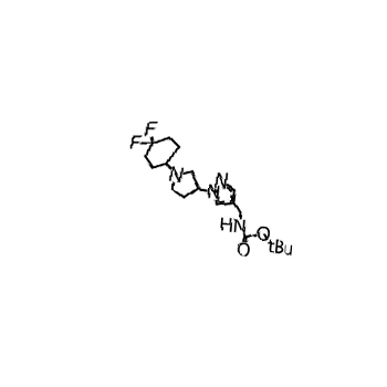 CC(C)(C)OC(=O)NCc1cnn(C2CCN(C3CCC(F)(F)CC3)C2)c1